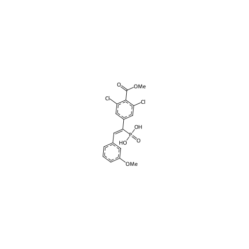 COC(=O)c1c(Cl)cc(C(=Cc2cccc(OC)c2)P(=O)(O)O)cc1Cl